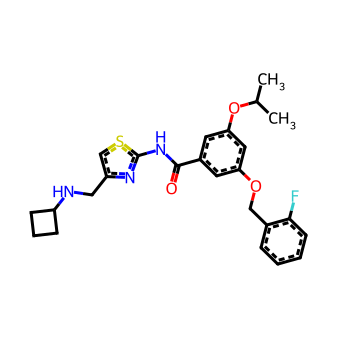 CC(C)Oc1cc(OCc2ccccc2F)cc(C(=O)Nc2nc(CNC3CCC3)cs2)c1